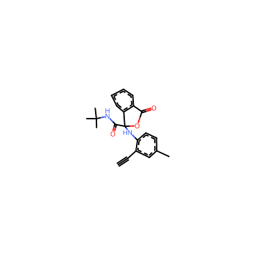 C#Cc1cc(C)ccc1NC1(C(=O)NC(C)(C)C)OC(=O)c2ccccc21